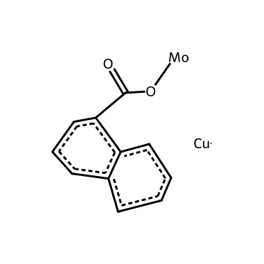 O=C([O][Mo])c1cccc2ccccc12.[Cu]